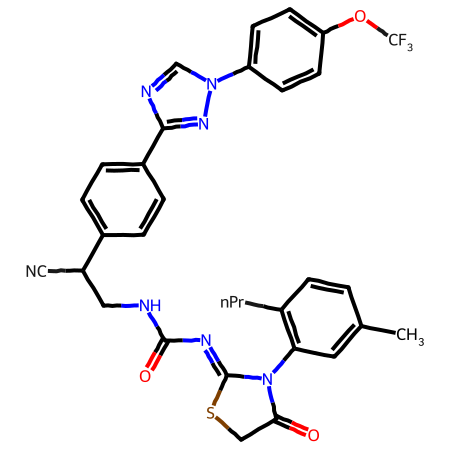 CCCc1ccc(C)cc1N1C(=O)CS/C1=N\C(=O)NCC(C#N)c1ccc(-c2ncn(-c3ccc(OC(F)(F)F)cc3)n2)cc1